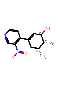 C[C@@H]1CC(c2ccncc2[N+](=O)[O-])=C[C@@H](O)[C@@H]1Br